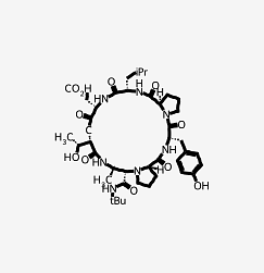 CC(C)C[C@@H]1NC(=O)[C@H]2CCCN2C(=O)[C@H](Cc2ccc(O)cc2)NC(=O)[C@@H]2CCCN2[C@H](C(=O)NC(C)(C)C)[C@@H](C)NC(=O)[C@H]([C@@H](C)O)CC(=O)[C@H](CC(=O)O)NC1=O